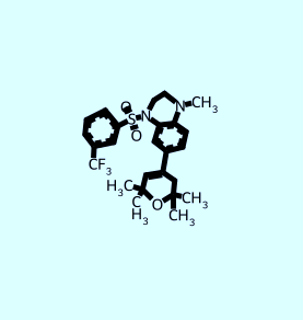 CN1CCN(S(=O)(=O)c2cccc(C(F)(F)F)c2)c2cc(C3=CC(C)(C)OC(C)(C)C3)ccc21